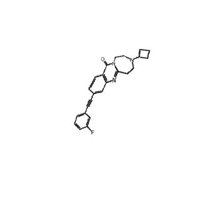 O=c1c2ccc(C#Cc3cccc(F)c3)cc2nc2n1CCN(C1CCC1)CC2